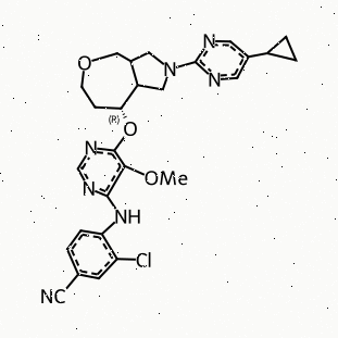 COc1c(Nc2ccc(C#N)cc2Cl)ncnc1O[C@@H]1CCOCC2CN(c3ncc(C4CC4)cn3)CC21